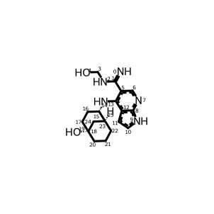 N=C(NCO)c1cnc2[nH]ccc2c1N[C@H]1CC[C@]2(O)CCC[C@H]1C2